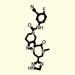 CN1CC(c2nc[nH]n2)Cn2nc3c(c2C1=O)CN(C(=O)Nc1ccc(F)c(C#N)c1)CC3